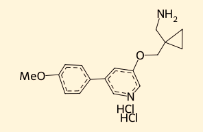 COc1ccc(-c2cncc(OCC3(CN)CC3)c2)cc1.Cl.Cl